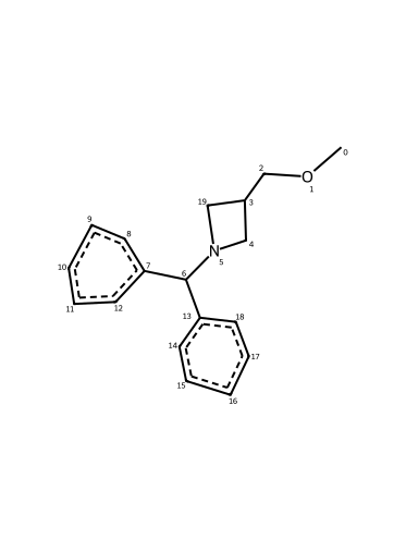 COCC1CN(C(c2ccccc2)c2ccccc2)C1